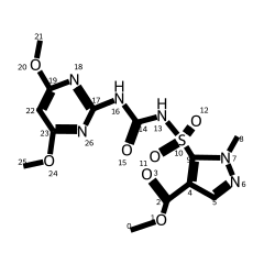 COC(=O)c1cnn(C)c1S(=O)(=O)NC(=O)Nc1nc(OC)cc(OC)n1